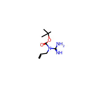 C=CCN(C(=N)N)C(=O)OC(C)(C)C